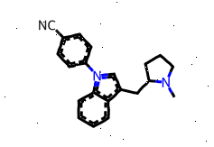 CN1CCCC1Cc1cn(-c2ccc(C#N)cc2)c2ccccc12